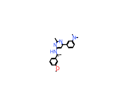 COc1cccc([C@H](C)Nc2cc(-c3cccc(N(C)C)c3)nc(C)n2)c1